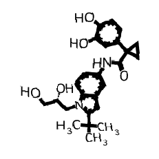 CC(C)(C)c1cc2cc(NC(=O)C3(c4ccc(O)c(O)c4)CC3)ccc2n1C[C@@H](O)CO